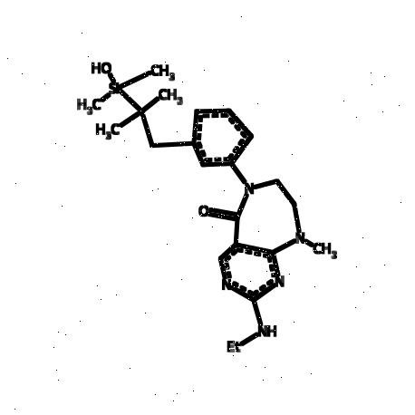 CCNc1ncc2c(n1)N(C)CCN(c1cccc(CC(C)(C)[Si](C)(C)O)c1)C2=O